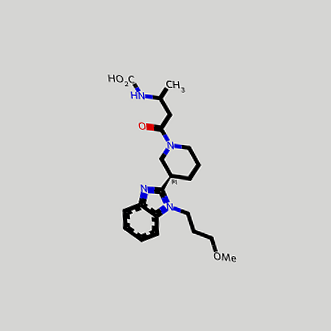 COCCCn1c([C@@H]2CCCN(C(=O)CC(C)NC(=O)O)C2)nc2ccccc21